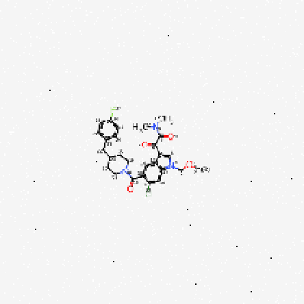 CCCCOCn1cc(C(=O)C(=O)N(C)C)c2cc(C(=O)N3CCC(Cc4ccc(F)cc4)CC3)c(Cl)cc21